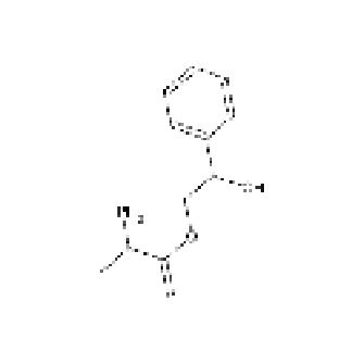 C=C(OCC(O)c1ccccc1)C(C)P